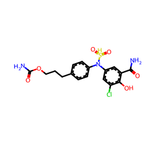 NC(=O)OCCCc1ccc(N(c2cc(Cl)c(O)c(C(N)=O)c2)[SH](=O)=O)cc1